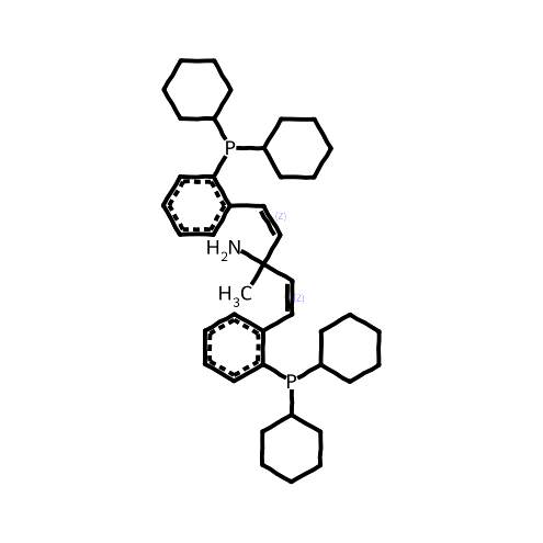 CC(N)(/C=C\c1ccccc1P(C1CCCCC1)C1CCCCC1)/C=C\c1ccccc1P(C1CCCCC1)C1CCCCC1